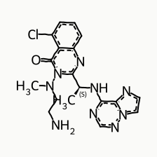 C[C@H](Nc1ncnn2ccnc12)c1nc2cccc(Cl)c2c(=O)n1N(C)CCN